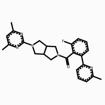 Cc1cccc(-c2cccc(F)c2C(=O)N2CC3CN(c4nc(C)cc(C)n4)CC3C2)n1